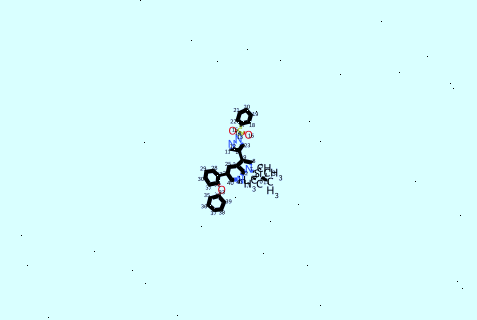 CC(C)(C)[Si](C)(C)n1cc(-c2cnn(S(=O)(=O)c3ccccc3)c2)c2cc(-c3ccccc3Oc3ccccc3)cnc21